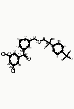 CC(C)(C)c1ccc(C(C)(C)COCc2cccc(C(=O)c3cc(Cl)cc(Cl)c3)c2)cc1